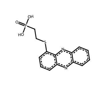 O=P(O)(O)CCSc1cccc2nc3ccccc3nc12